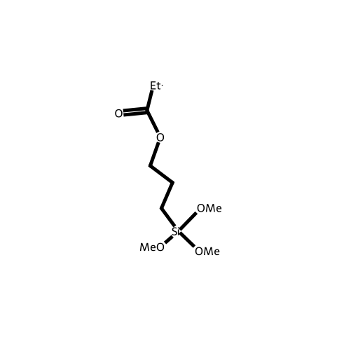 C[CH]C(=O)OCCC[Si](OC)(OC)OC